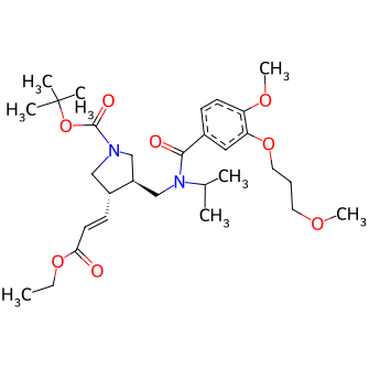 CCOC(=O)/C=C/[C@@H]1CN(C(=O)OC(C)(C)C)C[C@H]1CN(C(=O)c1ccc(OC)c(OCCCOC)c1)C(C)C